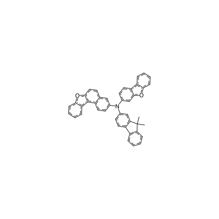 CC1(C)c2ccccc2-c2ccc(N(c3ccc4c(ccc5oc6ccccc6c54)c3)c3ccc4c(c3)oc3ccccc34)cc21